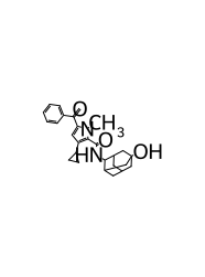 Cn1c(C(=O)c2ccccc2)cc(C2CC2)c1C(=O)NC1C2CC3CC1CC(O)(C3)C2